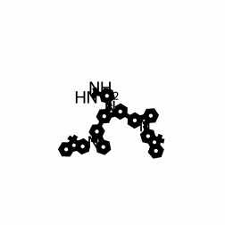 CC1(C)c2ccccc2-c2ccc(-n3c4ccccc4c4cc(-c5ccc6c(c5)c5cc(-c7ccc8c(c7)c7ccccc7n8-c7ccc8c(c7)C(C)(C)c7ccccc7-8)ccc5n6-c5cccc(C(=N)N)c5)ccc43)cc21